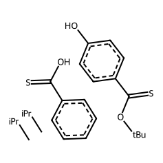 CC(C)(C)OC(=S)c1ccc(O)cc1.CC(C)C.CC(C)C.OC(=S)c1ccccc1